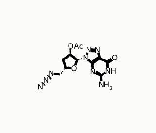 CC(=O)O[C@@H]1C[C@@H](CN=[N+]=[N-])O[C@H]1n1nnc2c(=O)[nH]c(N)nc21